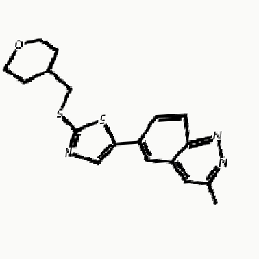 Cc1cc2cc(-c3cnc(SCC4CCOCC4)s3)ccc2nn1